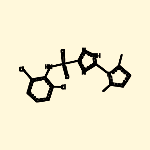 Cc1ccc(C)n1-c1nc(S(=O)(=O)Nc2c(Cl)cccc2Cl)n[nH]1